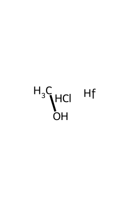 CO.Cl.[Hf]